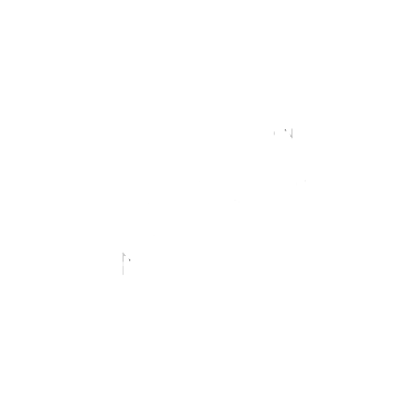 CS(=O)(=O)C(C#N)=Cc1ccc2[nH]ccc2c1